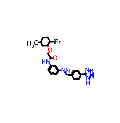 CC1CCC(C(C)C)C(OCC(=O)Nc2cccc(NCc3ccc(-c4nnn[nH]4)cc3)c2)C1